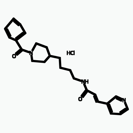 Cl.O=C(C=Cc1cccnc1)NCCCCC1CCN(C(=O)c2ccccc2)CC1